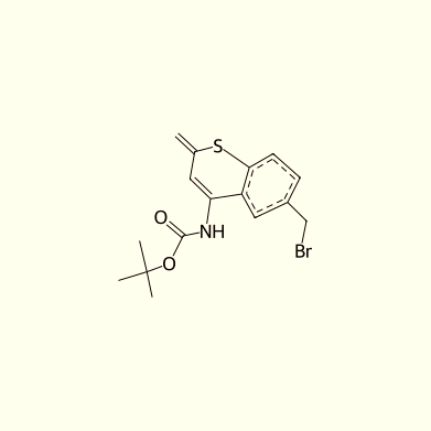 C=C1C=C(NC(=O)OC(C)(C)C)c2cc(CBr)ccc2S1